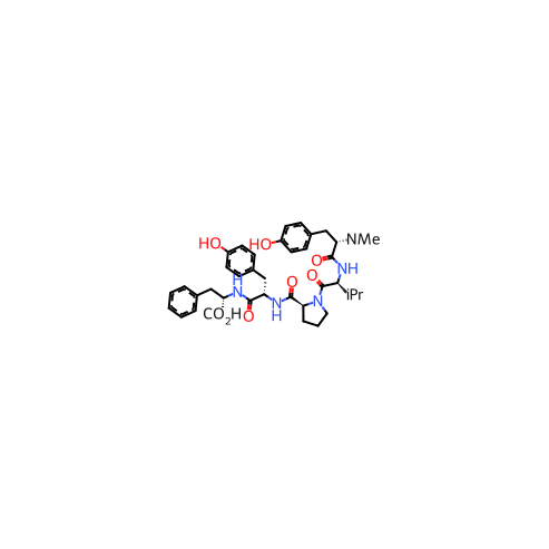 CN[C@@H](Cc1ccc(O)cc1)C(=O)N[C@H](C(=O)N1CCC[C@H]1C(=O)N[C@@H](Cc1ccc(O)cc1)C(=O)N[C@@H](Cc1ccccc1)C(=O)O)C(C)C